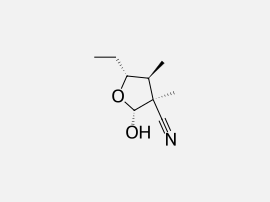 CC[C@H]1O[C@@H](O)[C@](C)(C#N)[C@@H]1C